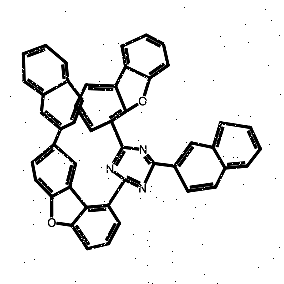 c1ccc2cc(-c3ccc4oc5cccc(-c6nc(-c7ccc8ccccc8c7)nc(-c7cccc8c7oc7ccccc78)n6)c5c4c3)ccc2c1